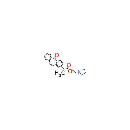 CC(C(=O)OCCN1CCCC1)c1ccc2c(=O)c3ccccc3ccc2c1